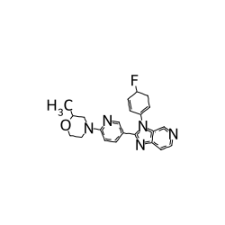 CC1CN(c2ccc(-c3nc4ccncc4n3C3=CCC(F)C=C3)cn2)CCO1